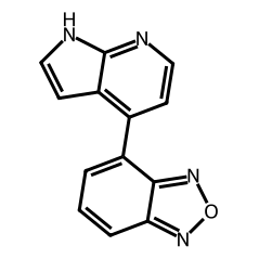 c1cc(-c2ccnc3[nH]ccc23)c2nonc2c1